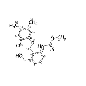 COC(=S)Nc1cccc(CO)c1COc1cc(C)c(C)cc1Cl